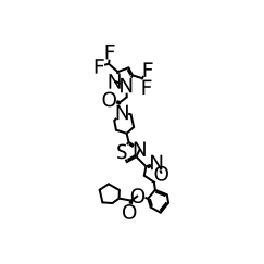 O=C(Oc1ccccc1C1CC(c2csc(C3CCN(C(=O)Cn4nc(C(F)F)cc4C(F)F)CC3)n2)=NO1)C1CCCCC1